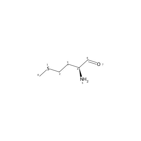 CSC[CH][C@H](N)C=O